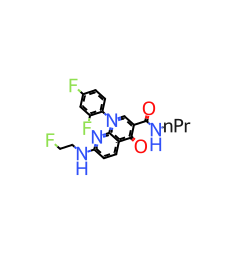 CCCNC(=O)c1cn(-c2ccc(F)cc2F)c2nc(NCCF)ccc2c1=O